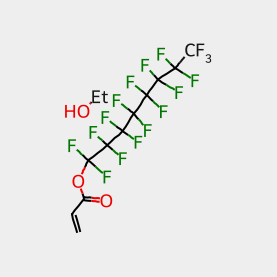 C=CC(=O)OC(F)(F)C(F)(F)C(F)(F)C(F)(F)C(F)(F)C(F)(F)C(F)(F)C(F)(F)F.CCO